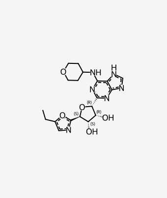 CCc1cnc([C@H]2O[C@H](c3nc(NC4CCOCC4)c4[nH]cnc4n3)[C@H](O)[C@@H]2O)o1